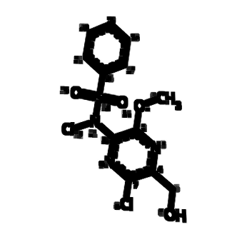 COc1nc(CO)c(Cl)nc1N(Cl)S(=O)(=O)c1ccccc1